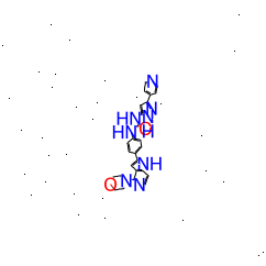 O=C(Nc1ccc(-c2cc3c(N4CCOCC4)nccc3[nH]2)cc1)Nc1cc(-c2ccncc2)n[nH]1